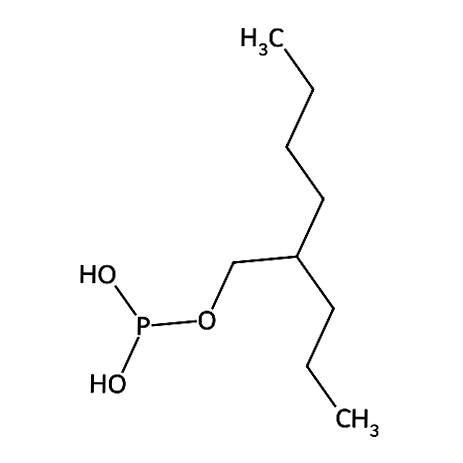 CCCCC(CCC)COP(O)O